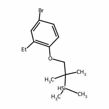 CCc1cc(Br)ccc1OCC(C)(C)[SiH](C)C